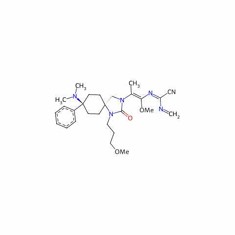 C=N/C(C#N)=N\C(OC)=C(/C)N1C[C@]2(CC[C@](c3ccccc3)(N(C)C)CC2)N(CCCOC)C1=O